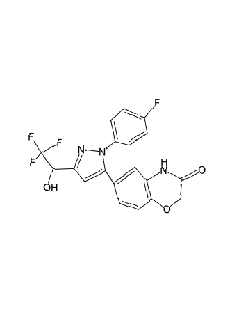 O=C1COc2ccc(-c3cc(C(O)C(F)(F)F)nn3-c3ccc(F)cc3)cc2N1